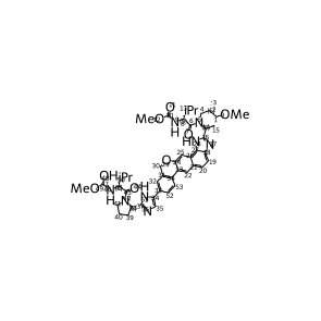 COC[C@@H](C)CN(C(=O)[C@@H](NC(=O)OC)C(C)C)[C@@H](C)c1nc2ccc3cc4c(cc3c2[nH]1)OCc1cc(-c2cnc([C@@H]3CCCN3C(=O)[C@@H](NC(O)OC)C(C)C)[nH]2)ccc1-4